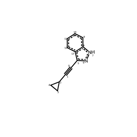 C(#CC1CC1)c1n[nH]c2ccccc12